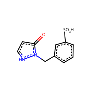 O=c1cc[nH]n1Cc1cccc(S(=O)(=O)O)c1